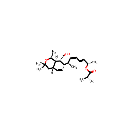 CC(=O)[C@H](C)C(=O)O[C@@H](C)/C=C/C=C\[C@@H](C)[C@@H]1C=C[C@@H]2CC(C)(C)O[C@@H](C)[C@H]2[C@@H]1CO